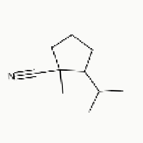 CC(C)C1CCCC1(C)C#N